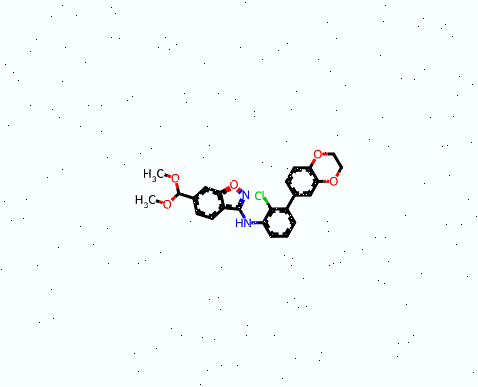 COC(OC)c1ccc2c(Nc3cccc(-c4ccc5c(c4)OCCO5)c3Cl)noc2c1